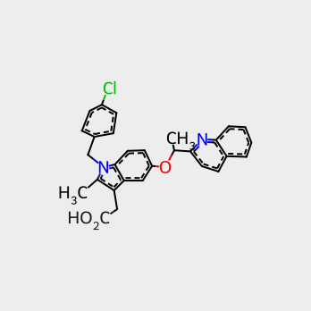 Cc1c(CC(=O)O)c2cc(OC(C)c3ccc4ccccc4n3)ccc2n1Cc1ccc(Cl)cc1